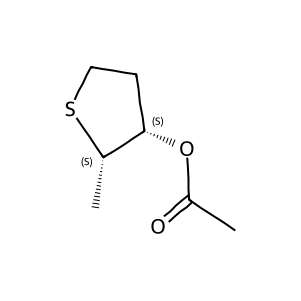 CC(=O)O[C@H]1CCS[C@H]1C